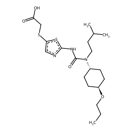 CCCO[C@H]1CC[C@H](N(CCC(C)C)C(=O)Nc2ncc(SCC(=O)O)s2)CC1